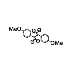 COc1ccc(S(=O)(=O)S(=O)(=O)c2ccc(OC)cc2)cc1